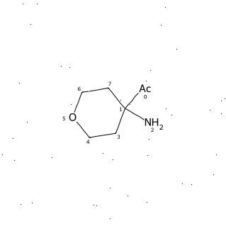 CC(=O)C1(N)CCOCC1